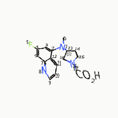 CN(c1cc(F)cc2ncccc12)[C@H]1CCN(C(=O)O)C1